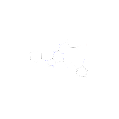 Cc1ccc(CNc2nc(NC(C)CC(C)(C)O)nc3c2ncn3C2CCCCC2)c(N)c1